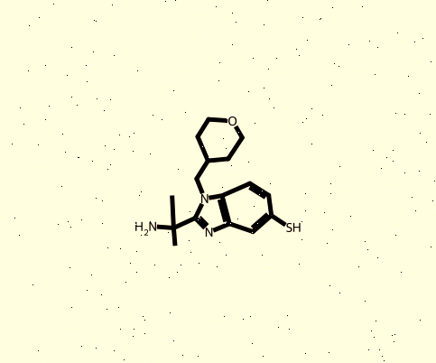 CC(C)(N)c1nc2cc(S)ccc2n1CC1CCOCC1